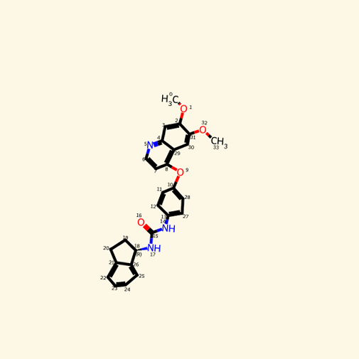 COc1cc2nccc(Oc3ccc(NC(=O)N[C@@H]4CCc5ccccc54)cc3)c2cc1OC